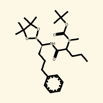 CCCC(C(=O)N[C@@H](CCCc1ccccc1)B1OC(C)(C)C(C)(C)O1)N(C)C(=O)OC(C)(C)C